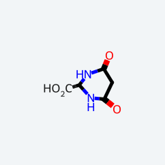 O=C1CC(=O)NC(C(=O)O)N1